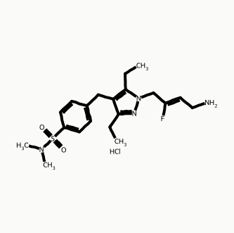 CCc1nn(C/C(F)=C/CN)c(CC)c1Cc1ccc(S(=O)(=O)N(C)C)cc1.Cl